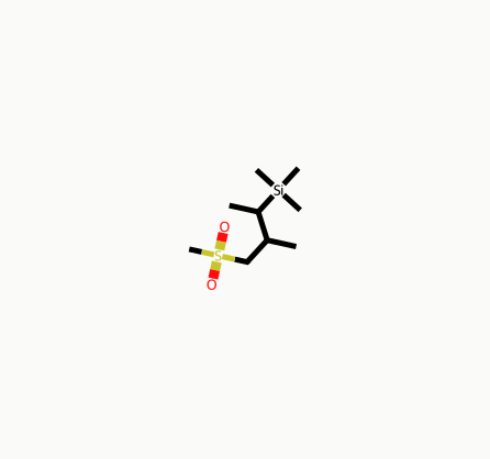 CC(CS(C)(=O)=O)C(C)[Si](C)(C)C